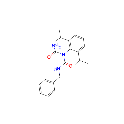 CC(C)c1cccc(C(C)C)c1N(C(N)=O)C(=O)NCc1ccccc1